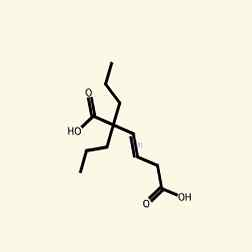 CCCC(/C=C/CC(=O)O)(CCC)C(=O)O